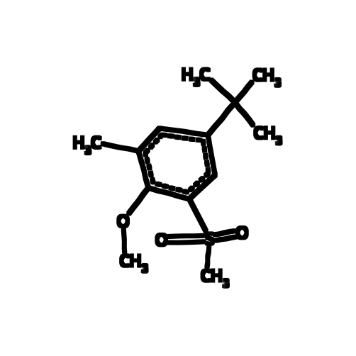 COc1c(C)cc(C(C)(C)C)cc1S(C)(=O)=O